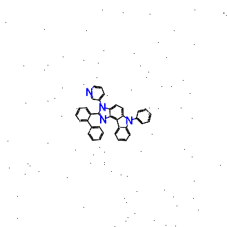 c1ccc(-c2ccccc2-c2nc3c4c5ccccc5n(-c5ccccc5)c4ccc3n2-c2cccnc2)cc1